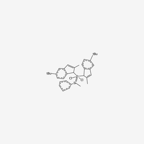 CC1=Cc2cc(C(C)(C)C)ccc2[CH]1[Zr]([Cl])([Cl])([CH]1C(C)=Cc2cc(C(C)(C)C)ccc21)=[Si](C)c1ccccc1